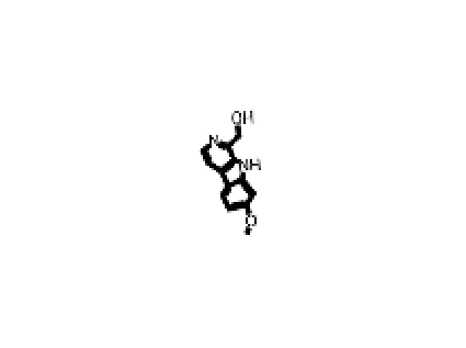 COc1ccc2c(c1)[nH]c1c(CO)nccc12